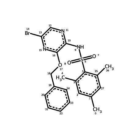 Cc1cc(C)c(S(=O)(=O)Nc2ncc(Br)nc2OCc2ccccc2)c(C)c1